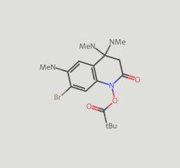 CNc1cc2c(cc1Br)N(OC(=O)C(C)(C)C)C(=O)CC2(NC)NC